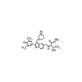 CC(=O)N1CCC[C@@H](Cn2c(-c3cc(C)c(=O)n(C)c3)nc3ccc(CNC(C(=O)OC(C)(C)C)C(C)O)cc32)C1